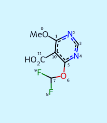 COc1ncnc(OC(F)F)c1C(=O)O